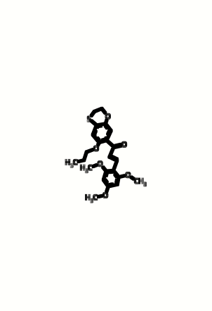 CCCOc1cc2c(cc1C(=O)/C=C/c1c(OC)cc(OC)cc1OC)OCCS2